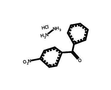 Cl.NN.O=C(c1ccccc1)c1ccc([N+](=O)[O-])cc1